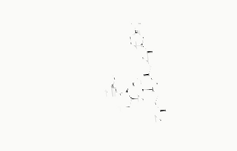 CC(C)C[C@H](NC(=O)[C@H](CC(C)C)NC(=O)[C@H](CCC(N)=O)NC(=O)CNC(=O)[C@@H]1C[C@@H](O)CN1)C(=O)O